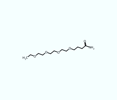 CCOCCOCCOCCOCCCC(N)=O